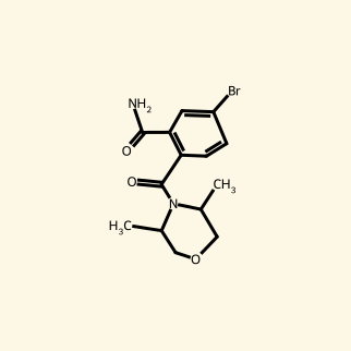 CC1COCC(C)N1C(=O)c1ccc(Br)cc1C(N)=O